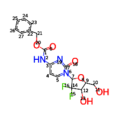 O=C(Nc1ccn(C2OC(CO)C(O)C2(F)F)c(=O)n1)OCc1ccccc1